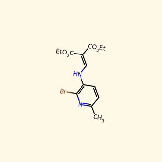 CCOC(=O)C(=CNc1ccc(C)nc1Br)C(=O)OCC